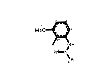 COc1cccc(BN(C(C)C)C(C)C)c1C